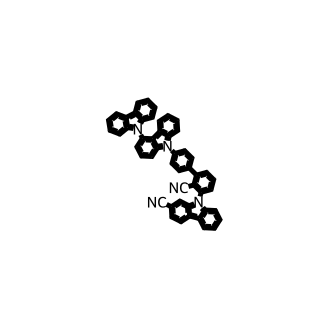 N#Cc1ccc2c3ccccc3n(-c3cccc(-c4ccc(-n5c6ccccc6c6c(-n7c8ccccc8c8ccccc87)cccc65)cc4)c3C#N)c2c1